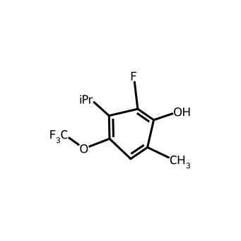 Cc1cc(OC(F)(F)F)c(C(C)C)c(F)c1O